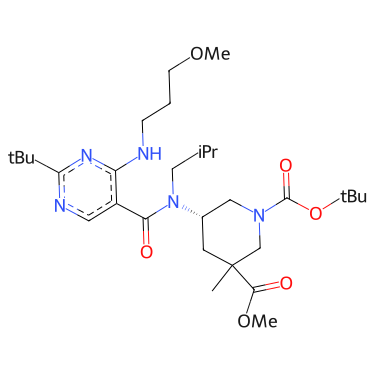 COCCCNc1nc(C(C)(C)C)ncc1C(=O)N(CC(C)C)[C@@H]1CN(C(=O)OC(C)(C)C)CC(C)(C(=O)OC)C1